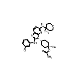 CC1(Nc2ncc3nc(Nc4cccc(Cl)c4)n([C@H]4CC[C@@](OC(N)=O)(C(C)(C)C)CC4)c3n2)CCOCC1